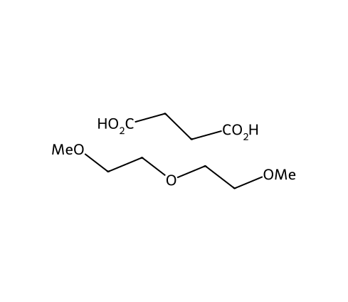 COCCOCCOC.O=C(O)CCC(=O)O